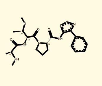 CN[C@@H](C)C(=O)N[C@H](C(=O)N1CCC[C@H]1C(=O)Nc1snnc1-c1ccccc1)[C@@H](C)OC